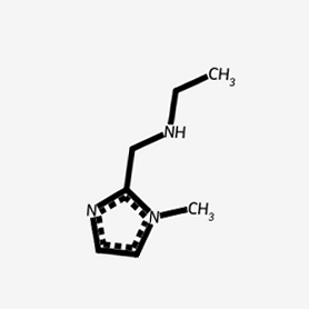 CCNCc1nccn1C